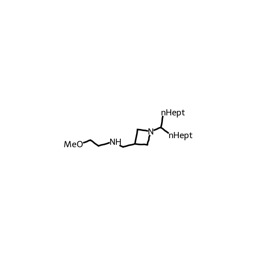 CCCCCCCC(CCCCCCC)N1CC(CNCCOC)C1